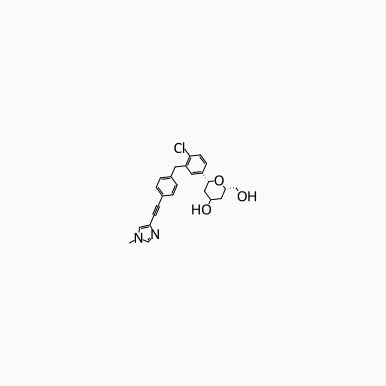 Cn1cnc(C#Cc2ccc(Cc3cc([C@H]4CC(O)C[C@@H](CO)O4)ccc3Cl)cc2)c1